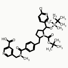 CN(Cc1cncc(C(=O)O)c1)C(=O)c1ccc(CC2CCC(C(O[Si](C)(C)C(C)(C)C)c3ccc(Cl)nc3)N2C(=O)OC(C)(C)C)cc1